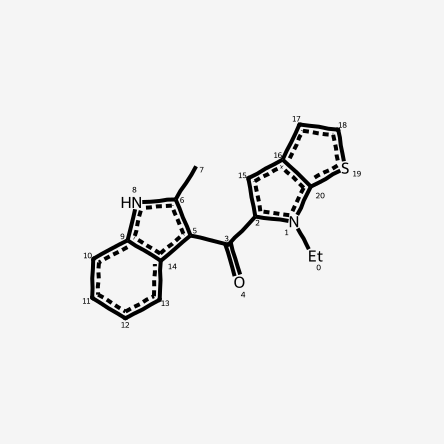 CCn1c(C(=O)c2c(C)[nH]c3ccccc23)cc2ccsc21